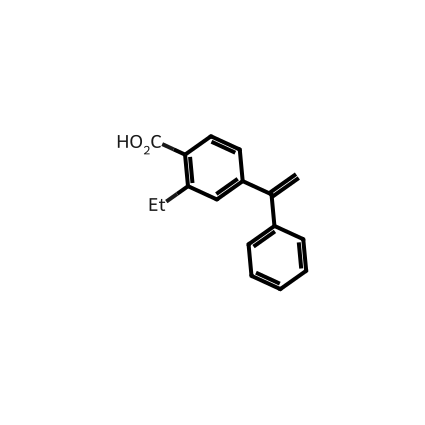 C=C(c1ccccc1)c1ccc(C(=O)O)c(CC)c1